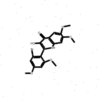 COc1cc(Br)c(-c2[nH]c3cc(OC)c(OC)cc3c(=O)c2O)c(OC)c1